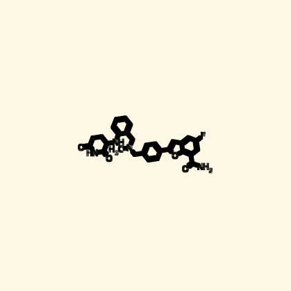 CN(Cc1ccc(-c2cc3cc(F)cc(C(N)=O)c3o2)cc1)Cc1ccccc1NC1CCC(=O)NC1=O